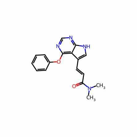 CN(C)C(=O)C=Cc1c[nH]c2ncnc(Oc3ccccc3)c12